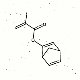 C=C(C)C(=O)OC1=CC2C=CC1C2